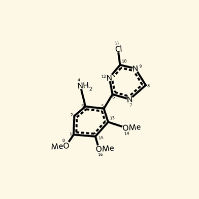 COc1cc(N)c(-c2ncnc(Cl)n2)c(OC)c1OC